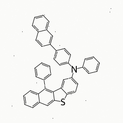 c1ccc(-c2c3ccccc3cc3sc4ccc(N(c5ccccc5)c5ccc(-c6ccc7ccccc7c6)cc5)cc4c23)cc1